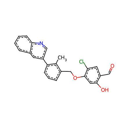 Cc1c(COc2cc(O)c(C=O)cc2Cl)cccc1-c1cnc2ccccc2c1